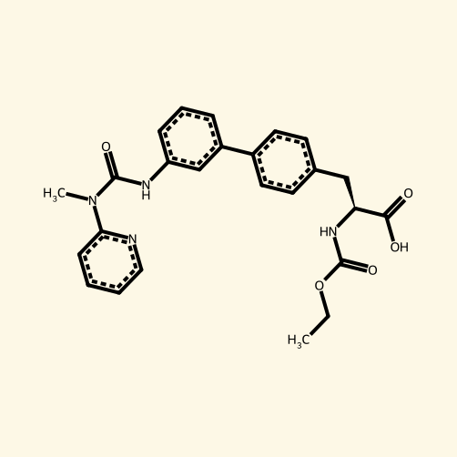 CCOC(=O)N[C@@H](Cc1ccc(-c2cccc(NC(=O)N(C)c3ccccn3)c2)cc1)C(=O)O